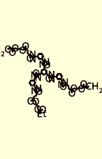 C=CC(=O)OCCOC(=O)CCc1nc(-c2cccc(-c3noc(-c4cc(-c5nc(-c6cccc(-c7noc(CCC(=O)OCCOC(=O)C=C)n7)c6)no5)cc(-c5nc(-c6cccc(-c7noc(CCC(=O)OCCOC(=O)CC)n7)c6)no5)c4)n3)c2)no1